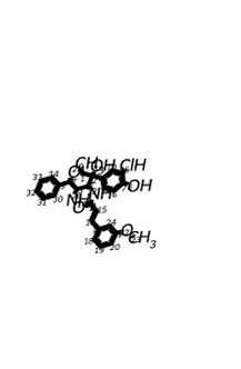 CCC(O)(c1ccc(O)cc1)C(NC(=O)C=Cc1cccc(OC)c1)C(N)C(=O)c1ccccc1.Cl